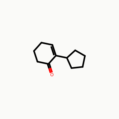 O=C1CCCC=C1C1CCCC1